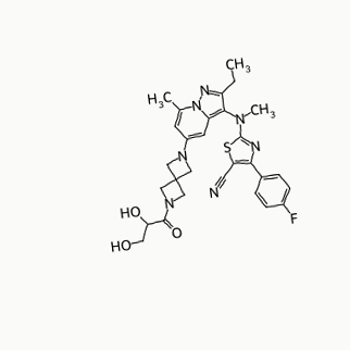 CCc1nn2c(C)cc(N3CC4(CN(C(=O)C(O)CO)C4)C3)cc2c1N(C)c1nc(-c2ccc(F)cc2)c(C#N)s1